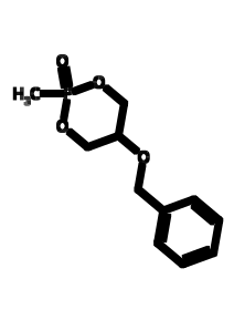 CP1(=O)OCC(OCc2ccccc2)CO1